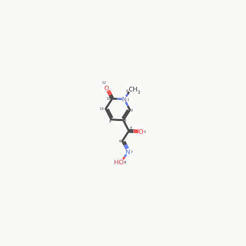 Cn1cc(C(=O)C=NO)ccc1=O